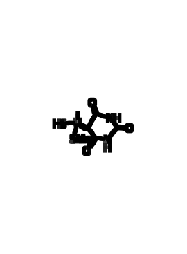 C[S][U]([CH3])([SH])=[C]1C(=O)NC(=O)NC1=O